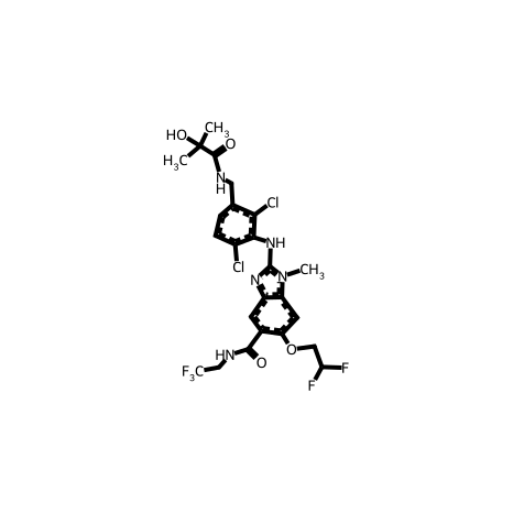 Cn1c(Nc2c(Cl)ccc(CNC(=O)C(C)(C)O)c2Cl)nc2cc(C(=O)NCC(F)(F)F)c(OCC(F)F)cc21